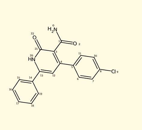 NC(=O)c1c(-c2ccc(Cl)cc2)cc(-c2ccccc2)[nH]c1=O